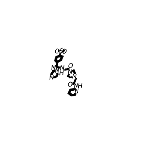 CS(=O)(=O)c1ccc(-c2nc3cnccn3c2NCC(=O)N2CCN(CC(=O)Nc3ccccn3)CC2)cc1